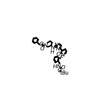 CC(C)(C)OC(=O)NCc1cccc(Oc2ncccc2-c2ccnc(N[C@H]3CCCN(C(=O)OCc4ccccc4)C3)n2)c1F